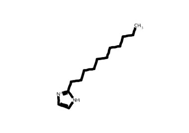 CCCCCCCCCCCC1=[N+]C=CN1